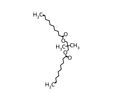 C=CCCCCCCCC(=O)OCC(C)(C)COC(=O)CCCCCCCC=C